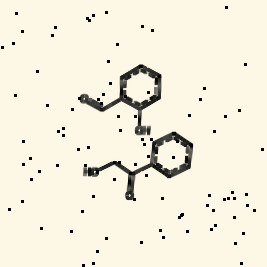 O=C(CO)c1ccccc1.O=Cc1ccccc1O